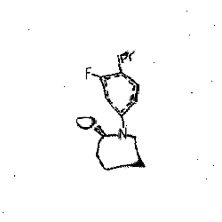 CC(C)c1ccc(N2CCCCCC2=O)cc1F